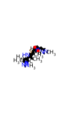 Cc1c(-c2[nH]c3sc([C@@H]4C[C@@H]5CCC4CN5Cc4cn(C)cn4)c(C)c3c2C(C)C)cn2ncnc2c1C